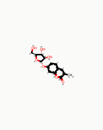 Cc1cc2ccc(O[C@@H]3O[C@@H](CO)[C@H](O)[C@H]3O)cc2oc1=O